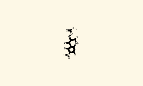 CC(=O)ON=C1C(=O)Nc2cc(F)c([N+](=O)[O-])c(F)c2C1=O